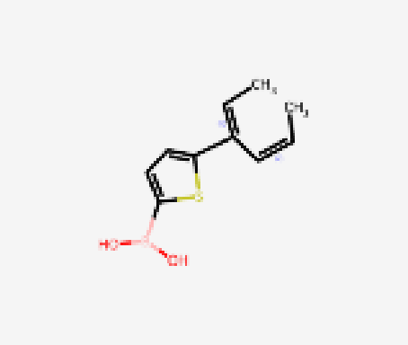 C/C=C\C(=C/C)c1ccc(B(O)O)s1